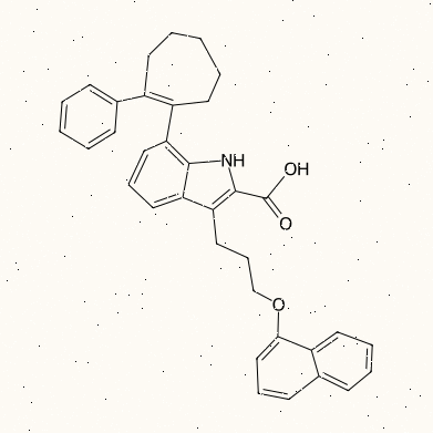 O=C(O)c1[nH]c2c(C3=C(c4ccccc4)CCCCC3)cccc2c1CCCOc1cccc2ccccc12